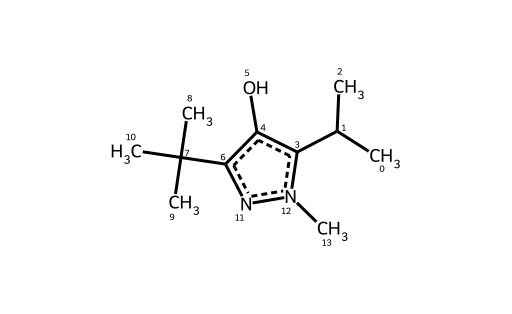 CC(C)c1c(O)c(C(C)(C)C)nn1C